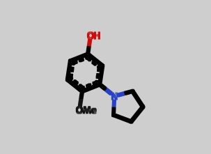 COc1ccc(O)cc1N1CCCC1